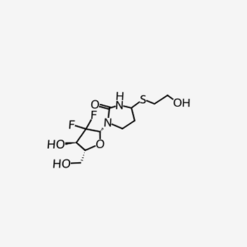 O=C1NC(SCCO)CCN1[C@@H]1O[C@H](CO)[C@@H](O)C1(F)F